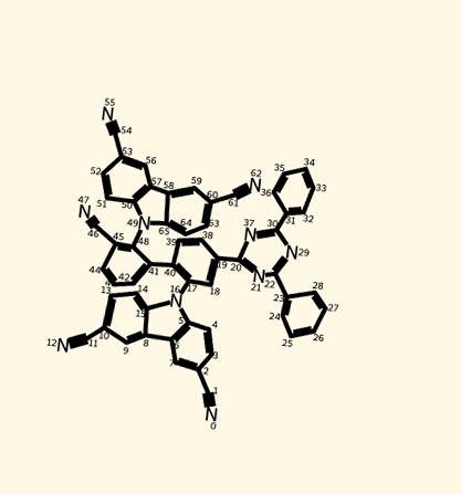 N#Cc1ccc2c(c1)c1cc(C#N)ccc1n2-c1cc(-c2nc(-c3ccccc3)nc(-c3ccccc3)n2)ccc1-c1cccc(C#N)c1-n1c2ccc(C#N)cc2c2cc(C#N)ccc21